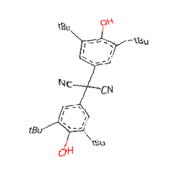 CC(C)(C)c1cc(C(C#N)(C#N)c2cc(C(C)(C)C)c(O)c(C(C)(C)C)c2)cc(C(C)(C)C)c1O